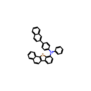 c1ccc(N(c2ccc(-c3ccc4ccccc4c3)cc2)c2cccc3c2sc2c4ccccc4ccc32)cc1